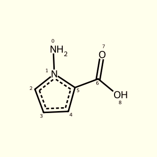 Nn1cccc1C(=O)O